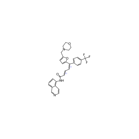 O=C(/C=C/C=C(/c1ccc(C(F)(F)F)cc1)c1ccc(CN2CCOCC2)o1)Nc1cccc2cnccc12